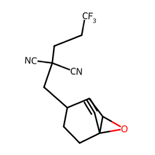 C#CC12CCC(CC(C#N)(C#N)CCC(F)(F)F)CC1O2